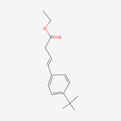 CCOC(=O)C/C=C/c1ccc(C(C)(C)C)cc1